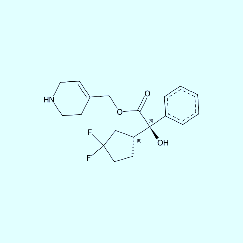 O=C(OCC1=CCNCC1)[C@](O)(c1ccccc1)[C@@H]1CCC(F)(F)C1